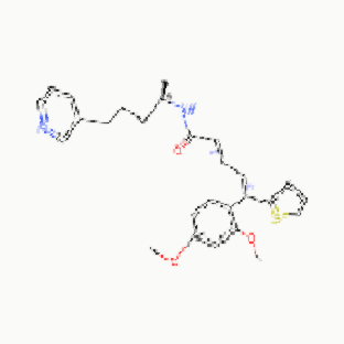 COc1ccc(/C(=C\C=C\C(=O)N[C@H](C)CCCc2cccnc2)c2cccs2)c(OC)c1